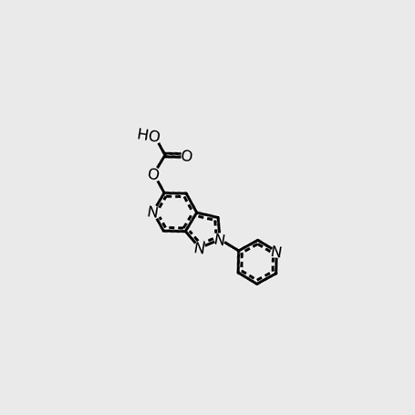 O=C(O)Oc1cc2cn(-c3cccnc3)nc2cn1